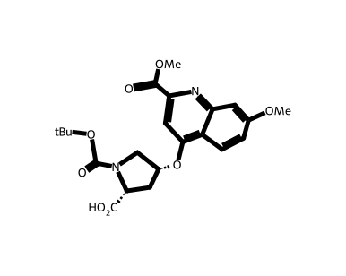 COC(=O)c1cc(O[C@@H]2C[C@H](C(=O)O)N(C(=O)OC(C)(C)C)C2)c2ccc(OC)cc2n1